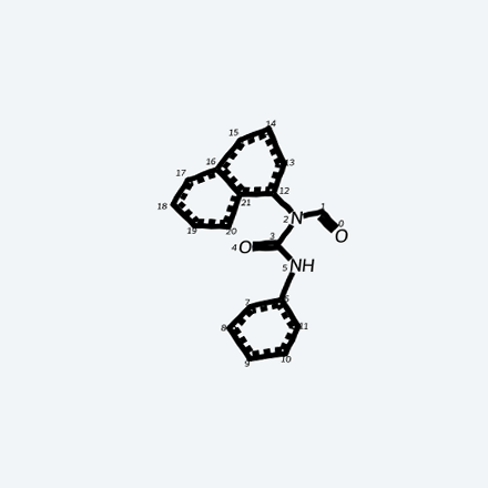 O=CN(C(=O)Nc1ccccc1)c1cccc2ccccc12